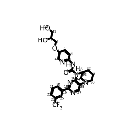 O=C(Nc1ccc(OCC(O)CO)cn1)N1c2nc(-c3cccc(C(F)(F)F)c3)ncc2N2CCC[C@H]1C2